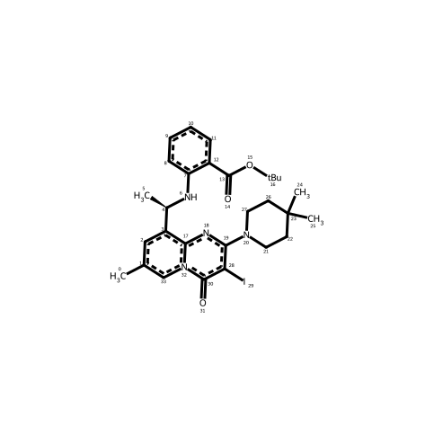 Cc1cc([C@@H](C)Nc2ccccc2C(=O)OC(C)(C)C)c2nc(N3CCC(C)(C)CC3)c(I)c(=O)n2c1